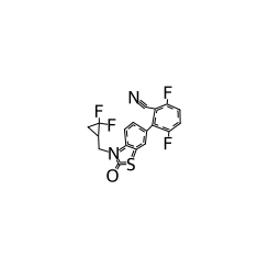 N#Cc1c(F)ccc(F)c1-c1ccc2c(c1)sc(=O)n2CC1CC1(F)F